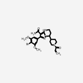 C=CC(=O)N1CCC(C2CCNc3c(C(N)=O)c(-c4cc(OC)c(Br)c(OC)c4)nn32)CC1